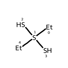 CCS(S)(S)CC